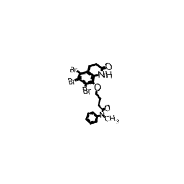 CN(C(=O)CCCOc1c(Br)c(Br)c(Br)c2c1NC(=O)CC2)c1ccccc1